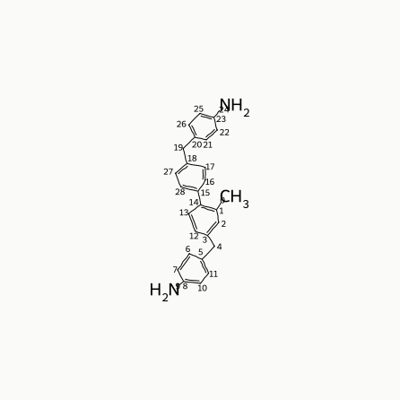 Cc1cc(Cc2ccc(N)cc2)ccc1-c1ccc(Cc2ccc(N)cc2)cc1